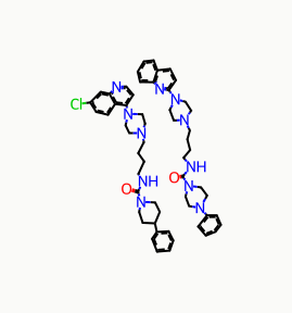 O=C(NCCCCN1CCN(c2ccc3ccccc3n2)CC1)N1CCN(c2ccccc2)CC1.O=C(NCCCCN1CCN(c2ccnc3cc(Cl)ccc23)CC1)N1CCC(c2ccccc2)CC1